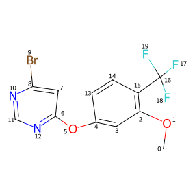 COc1cc(Oc2cc(Br)ncn2)ccc1C(F)(F)F